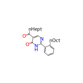 CCCCCCCCc1ccccc1-c1ncc(C(=O)CCCCCCC)c(=O)[nH]1